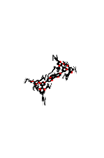 N#Cc1cc(C#N)c(-c2cc(-c3ccc4c(c3)oc3cc(-c5cc(-c6c(C#N)cc(C#N)cc6C#N)cc(-c6c(C#N)cc(C#N)cc6C#N)c5)ccc34)cc(-c3c(C#N)cc(C#N)cc3C#N)c2)c(C#N)c1